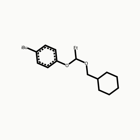 CCC(OCC1CCCCC1)Oc1ccc(C(C)CC)cc1